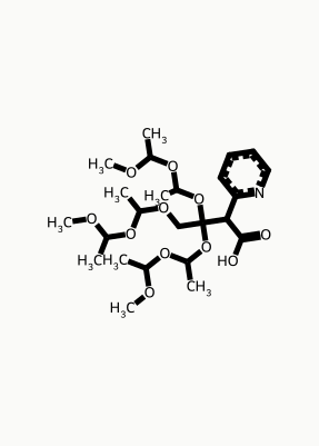 COC(C)OC(C)OCC(OC(C)OC(C)OC)(OC(C)OC(C)OC)C(C(=O)O)c1ccccn1